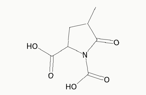 CC1CC(C(=O)O)N(C(=O)O)C1=O